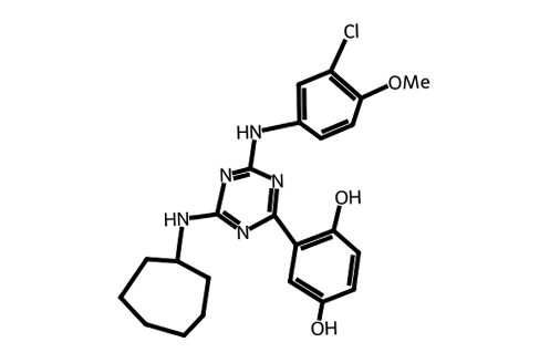 COc1ccc(Nc2nc(NC3CCCCCC3)nc(-c3cc(O)ccc3O)n2)cc1Cl